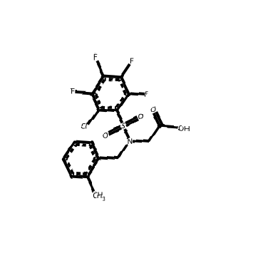 Cc1ccccc1CN(CC(=O)O)S(=O)(=O)c1c(F)c(F)c(F)c(F)c1Cl